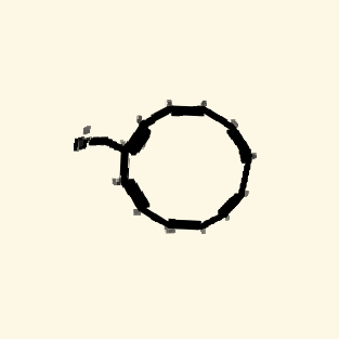 BrC1=C/C=C\C=C/C=C\C=C/C=C\1